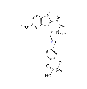 COc1ccc2c(c1)cc(C(=O)c1cccn1C/C=C/c1cccc(O[C@@H](C)C(=O)O)c1)n2C